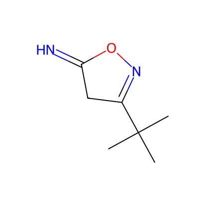 CC(C)(C)C1=NOC(=N)C1